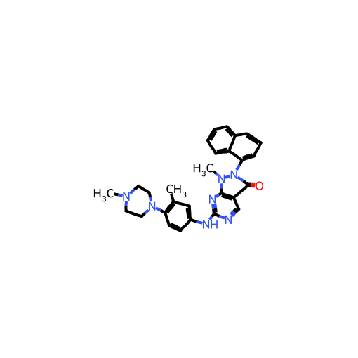 Cc1cc(Nc2ncc3c(=O)n(-c4cccc5ccccc45)n(C)c3n2)ccc1N1CCN(C)CC1